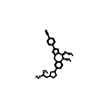 CN(C)CC1CCN(c2ccc3c(c2)Cn2cc(-c4ccc(C#N)cc4)cc2/C(=N/N)N3N)C1